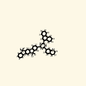 CC1(C)c2ccccc2-c2cc3c(cc21)-c1ccc(-c2nc(-c4ccc5cccnc5c4)nc(-c4cc5ccccc5c5ccccc45)n2)cc1C3(C)C